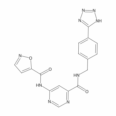 O=C(NCc1ccc(-c2nnn[nH]2)cc1)c1cc(NC(=O)c2ccno2)ncn1